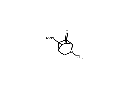 CNC1C(=O)C2CCC1CN2C